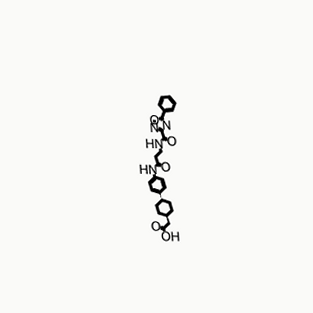 O=C(O)C[C@H]1CC[C@H](c2ccc(NC(=O)CCNC(=O)c3noc(-c4ccccc4)n3)cc2)CC1